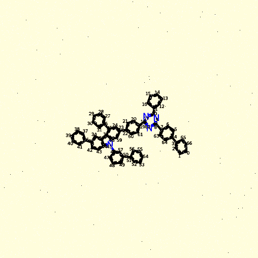 c1ccc(-c2ccc(-c3nc(-c4ccccc4)nc(-c4ccc(-c5cc(-c6ccccc6)c6c7cc(-c8ccccc8)ccc7n(-c7cccc(-c8ccccc8)c7)c6c5)cc4)n3)cc2)cc1